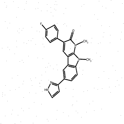 Cn1c(=O)c(-c2ccc(F)cc2)cc2c3cc(-c4cc[nH]n4)ccc3n(C)c21